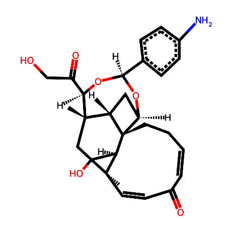 C[C@]12CC3(O)[C@H]4[C@@]5(CCC=CC(=O)C=C[C@]43C)[C@@H](C[C@@H]15)O[C@H](c1ccc(N)cc1)O[C@@H]2C(=O)CO